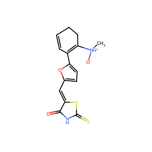 C[NH+]([O-])C1=C(c2ccc(/C=C3\SC(=S)NC3=O)o2)C=CCC1